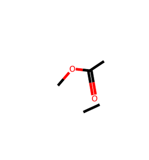 CC.COC(C)=O